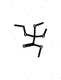 CCOC(OC)(OC)C(=O)OC